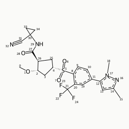 CO[C@H]1C[C@@H](S(=O)(=O)c2ccc(-c3cc(C)nn3C)cc2C(F)(F)F)C[C@@H]1C(=O)NC1(C#N)CC1